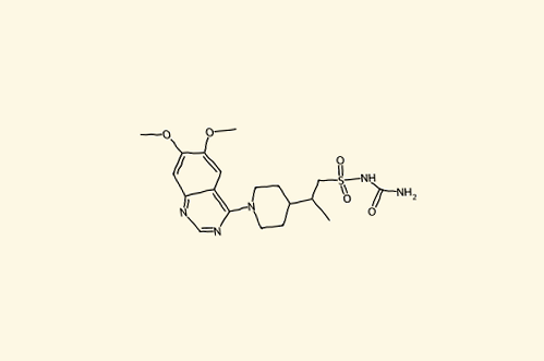 COc1cc2ncnc(N3CCC(C(C)CS(=O)(=O)NC(N)=O)CC3)c2cc1OC